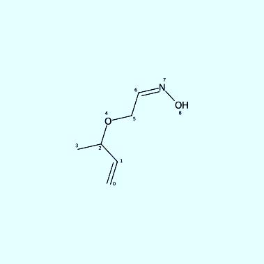 C=CC(C)OC/C=N\O